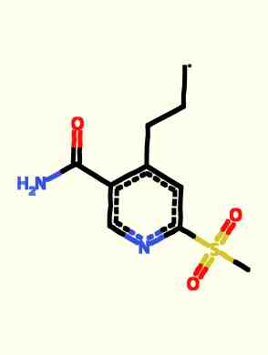 [CH2]CCc1cc(S(C)(=O)=O)ncc1C(N)=O